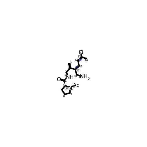 C=C(CNC(=O)[C@@H]1CCCN1C(C)=O)/C(=C\C=C(/C)Cl)CN